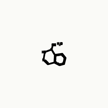 O.ON1NN=Cc2ccccc21